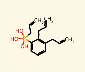 C=CCc1cccc(P(O)(O)(O)CC=C)c1CC=C